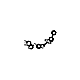 O=C1CCc2c(Oc3ccc4c(c3)C3C(O4)C3C3Nc4ccc(-c5ccccc5)cc4N3)ccnc2N1